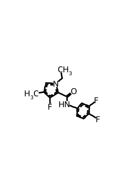 CCn1cc(C)c(F)c1C(=O)Nc1ccc(F)c(F)c1